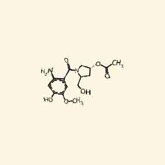 COc1cc(C(=O)N2C[C@H](OC(C)=O)CC2CO)c(N)cc1O